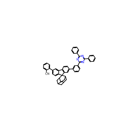 N#Cc1ccccc1-c1ccc2c(c1)-c1ccc(-c3cccc(-c4nc(-c5ccccc5)nc(-c5ccccc5)n4)c3)cc1C21C2CC3CC(C2)CC1C3